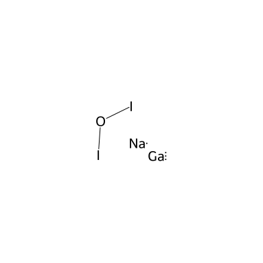 IOI.[Ga].[Na]